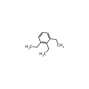 [CH2]Cc1cccc(CC)c1CC